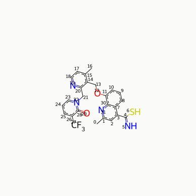 Cc1cc(C(=N)S)c2cccc(OCc3c(C)ccnc3Cn3cccc(C(F)(F)F)c3=O)c2n1